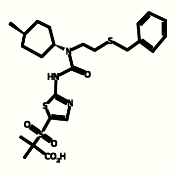 CC(C)(C(=O)O)S(=O)(=O)c1cnc(NC(=O)N(CCSCc2ccccc2)[C@H]2CC[C@H](C)CC2)s1